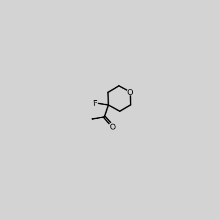 CC(=O)C1(F)CCOCC1